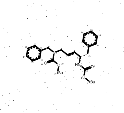 CC(C)(C)OC(=O)N[C@H](/C=C/CN(Cc1ccccc1)C(=O)OC(C)(C)C)Cc1ccccc1